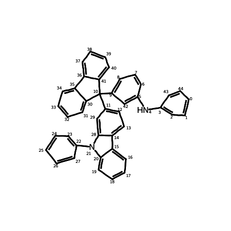 c1ccc(Nc2cccc(C3(c4ccc5c6ccccc6n(-c6ccccc6)c5c4)c4ccccc4-c4ccccc43)c2)cc1